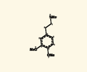 C[N]CCc1ccc(OC)c(OC)c1